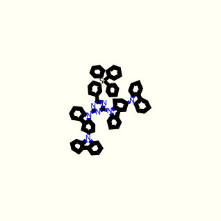 c1ccc([Si](c2ccccc2)(c2ccccc2)c2cccc(-c3nc(-n4c5ccccc5c5cc(-n6c7ccccc7c7ccccc76)ccc54)nc(-n4c5ccccc5c5cc(-n6c7ccccc7c7ccccc76)ccc54)n3)c2)cc1